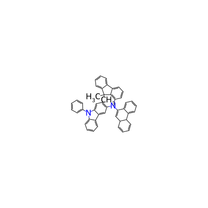 CC1(C)c2ccccc2-c2cccc(N(C3=CC4C=CC=CC4c4ccccc43)c3ccc4c(c3)c3ccccc3n4-c3ccccc3)c21